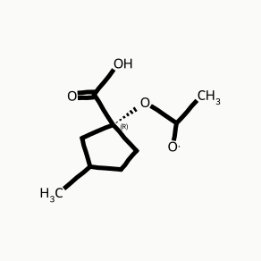 CC1CC[C@](OC(C)[O])(C(=O)O)C1